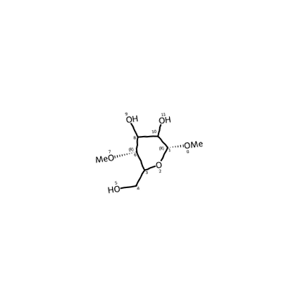 CO[C@@H]1OC(CO)[C@H](OC)C(O)C1O